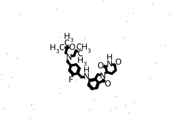 CC1(C)CN(CC2C=C(F)C(CNc3cccc4c3CN(C3CCC(=O)NC3=O)C4=O)=CC2)CC(C)(C)O1